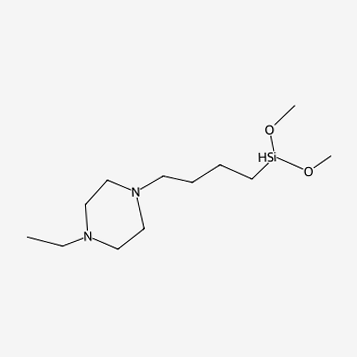 CCN1CCN(CCCC[SiH](OC)OC)CC1